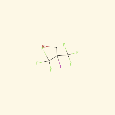 FC(F)(F)C(I)(CBr)C(F)(F)F